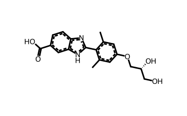 Cc1cc(OC[C@H](O)CO)cc(C)c1-c1nc2ccc(C(=O)O)cc2[nH]1